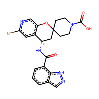 O=C(N[C@H]1CC2(CCN(C(=O)O)CC2)Oc2cnc(Br)cc21)c1cccc2cn[nH]c12